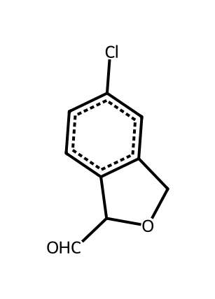 O=CC1OCc2cc(Cl)ccc21